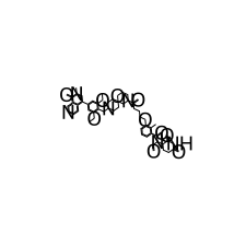 COc1cc(-c2cn(C)c(=O)c3cnccc23)cc(OC)c1CN1CCC2(CC1)CN(C(=O)CCCOc1cccc(C(=O)N(C=O)C3CCC(=O)NC3=O)c1C)CCO2